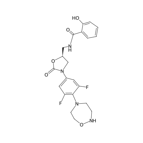 O=C(NC[C@H]1CN(c2cc(F)c(N3CCNOCC3)c(F)c2)C(=O)O1)c1ccccc1O